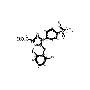 CCOC(=O)c1nc(Cc2c(F)cccc2F)n(-c2ccc(S(N)(=O)=O)cc2)n1